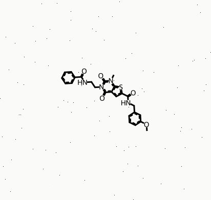 COc1cccc(CNC(=O)c2cc3c(=O)n(CCNC(=O)c4ccccc4)c(=O)n(C)c3s2)c1